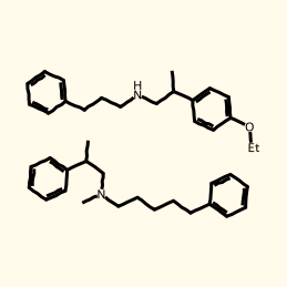 CC(CN(C)CCCCCc1ccccc1)c1ccccc1.CCOc1ccc(C(C)CNCCCc2ccccc2)cc1